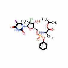 CC(C)OC(=O)[C@@H](C)N[P@](=O)(OC[C@H]1O[C@@H](n2cc(I)c(=O)[nH]c2=O)[C@](C)(Cl)[C@@H]1O)Oc1ccccc1